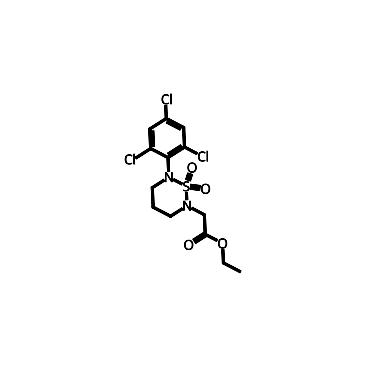 CCOC(=O)CN1CCCN(c2c(Cl)cc(Cl)cc2Cl)S1(=O)=O